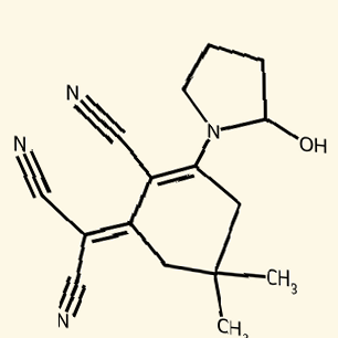 CC1(C)CC(=C(C#N)C#N)C(C#N)=C(N2CCCC2O)C1